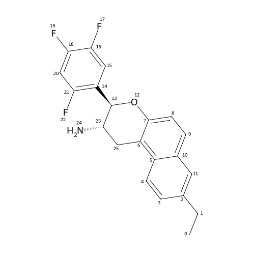 CCc1ccc2c3c(ccc2c1)O[C@H](c1cc(F)c(F)cc1F)[C@@H](N)C3